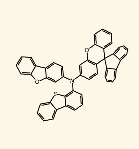 c1ccc2c(c1)Oc1cc(N(c3ccc4c(c3)oc3ccccc34)c3cccc4c3sc3ccccc34)ccc1C21c2ccccc2-c2ccccc21